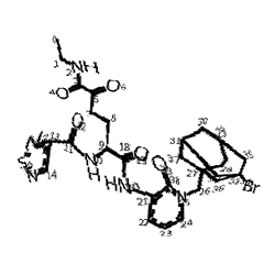 CCNC(=O)C(=O)CC[C@H](NC(=O)c1cnsn1)C(=O)Nc1cccn(CC23CC4CC(CC(Br)(C4)C2)C3)c1=O